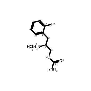 Cl.NC(=O)OC[C@@H](N)Cc1ccccc1F